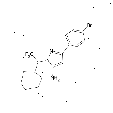 Nc1cc(-c2ccc(Br)cc2)nn1C(C1CCCCC1)C(F)(F)F